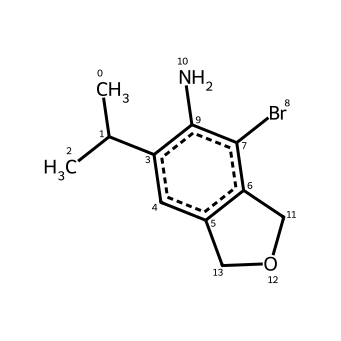 CC(C)c1cc2c(c(Br)c1N)COC2